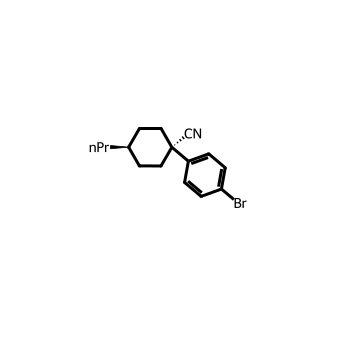 CCC[C@H]1CC[C@@](C#N)(c2ccc(Br)cc2)CC1